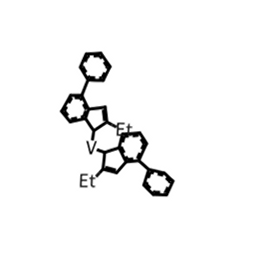 CCC1=Cc2c(-c3ccccc3)cccc2[CH]1[V][CH]1C(CC)=Cc2c(-c3ccccc3)cccc21